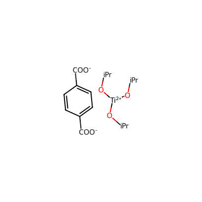 CC(C)[O][Ti+2]([O]C(C)C)[O]C(C)C.O=C([O-])c1ccc(C(=O)[O-])cc1